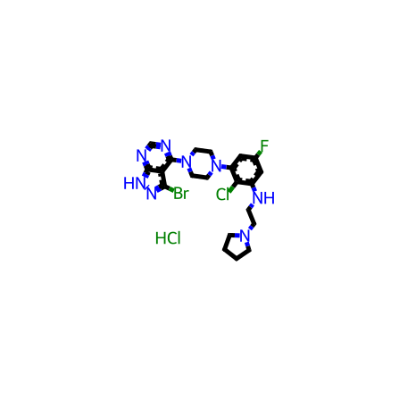 Cl.Fc1cc(NCCN2CCCC2)c(Cl)c(N2CCN(c3ncnc4[nH]nc(Br)c34)CC2)c1